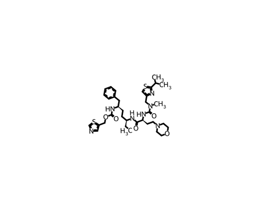 CC[C@@H](CC[C@H](Cc1ccccc1)NC(=O)OCc1cncs1)NC(=O)[C@H](CCN1CCOCC1)NC(=O)N(C)Cc1csc(C(C)C)n1